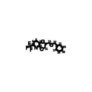 FC(F)(F)c1ccc2c(n1)OCC(COCc1ccccc1)O2